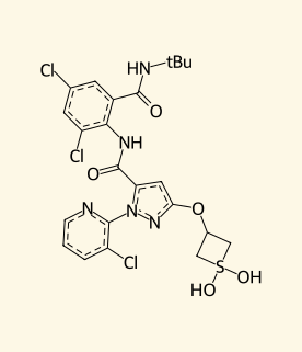 CC(C)(C)NC(=O)c1cc(Cl)cc(Cl)c1NC(=O)c1cc(OC2CS(O)(O)C2)nn1-c1ncccc1Cl